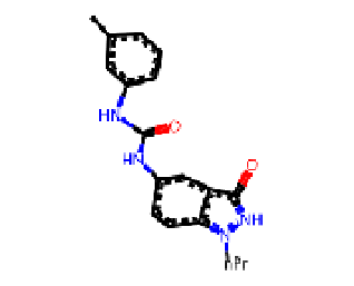 CCCn1[nH]c(=O)c2cc(NC(=O)Nc3cccc(C)c3)ccc21